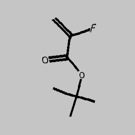 C=C(F)C(=O)OC(C)(C)C